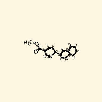 COC(=O)c1ccc(-c2ccc3ccccc3c2)nc1